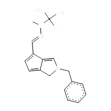 CC(C)(C)[S+]([O-])N=CC1=CC=C2CN(Cc3ccccc3)C=C12